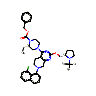 [2H]C([2H])([2H])N1CCC[C@H]1COc1nc2c(c(N3CCN(C(=O)OCc4ccccc4)[C@@H](CC#N)C3)n1)CCN(c1cccc3cccc(Cl)c13)C2